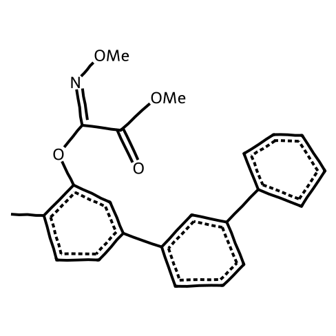 CO/N=C(/Oc1cc(-c2cccc(-c3ccccc3)c2)ccc1C)C(=O)OC